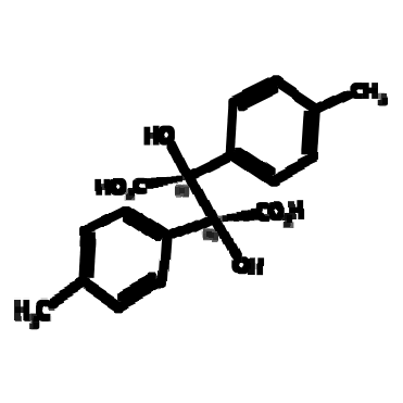 Cc1ccc([C@@](O)(C(=O)O)[C@](O)(C(=O)O)c2ccc(C)cc2)cc1